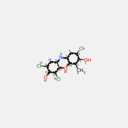 Cc1c(O)c(Cl)cc2nc3cc(Cl)c(=O)c(Cl)c-3oc12